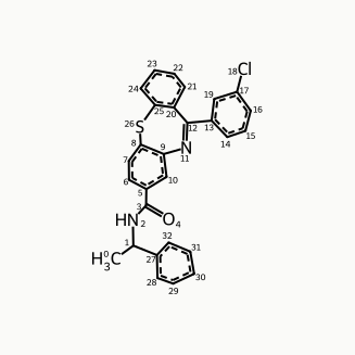 CC(NC(=O)c1ccc2c(c1)N=C(c1cccc(Cl)c1)c1ccccc1S2)c1ccccc1